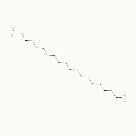 CN(C)CCCCCCCCCCCCCCCCCC[SiH](C)C